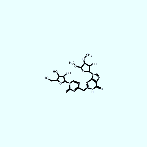 COC1OC(n2cnc3c(=O)[nH]c(Cc4ccn(C5OC(CO)C(O)C5O)c(=O)n4)nc32)C(O)C1OC